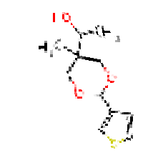 CC(O)C1(C)COC(c2ccsc2)OC1